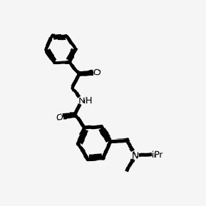 CC(C)N(C)Cc1cccc(C(=O)NCC(=O)c2ccccc2)c1